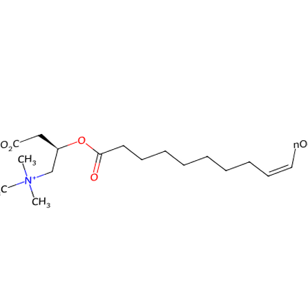 CCCCCCCC/C=C\CCCCCCCC(=O)O[C@H](CC(=O)O)C[N+](C)(C)C